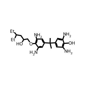 CCC(CC)CC(O)COc1c(N)cc(C(C)(C)c2cc(N)c(O)c(N)c2)cc1N